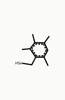 Cc1cc(C)c(C[SeH])c(C)c1C